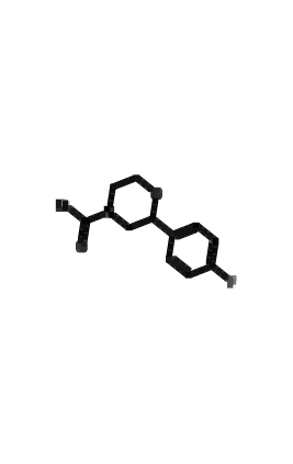 CCC(=O)N1CCOC(c2ccc(F)cc2)C1